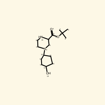 CC(C)(C)OC(=O)C1CN(C2CCC(O)CC2)CCN1